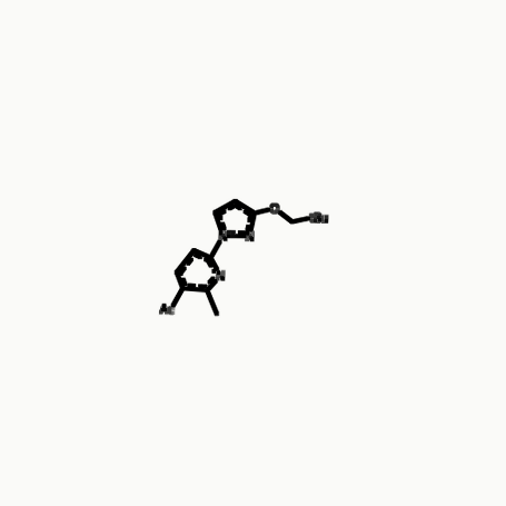 CC(=O)c1ccc(-n2ccc(OCC(C)(C)C)n2)nc1C